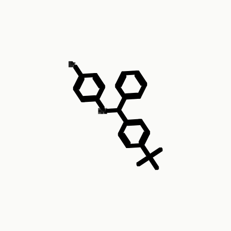 CC(C)(C)c1ccc(C(Nc2ccc(Br)cc2)c2ccccc2)cc1